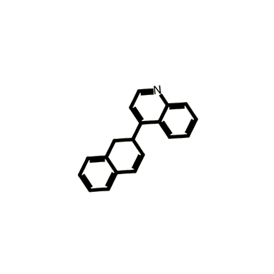 C1=CC(c2ccnc3ccccc23)Cc2ccccc21